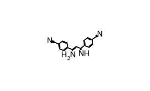 N#Cc1ccc(C(=N)/C=C(\N)c2ccc(C#N)cc2)cc1